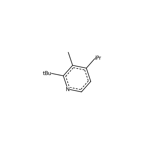 Cc1c(C(C)C)ccnc1C(C)(C)C